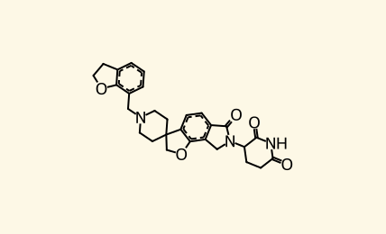 O=C1CCC(N2Cc3c(ccc4c3OCC43CCN(Cc4cccc5c4OCC5)CC3)C2=O)C(=O)N1